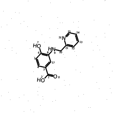 O=C(O)c1ccc(O)c(NCc2ccccn2)c1